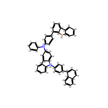 c1ccc(N(c2ccc(-c3cccc4c3sc3ccccc34)cc2)c2ccc3c(c2)c2ccccc2n3-c2ccc(-c3cccc4ccccc34)cc2)cc1